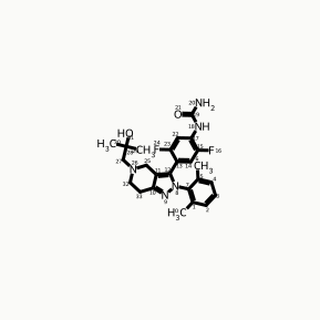 Cc1cccc(C)c1-n1nc2c(c1-c1cc(F)c(NC(N)=O)cc1F)CN(CC(C)(C)O)CC2